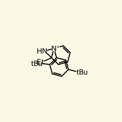 CCC12C=CC=C[N+]1(c1cc(C(C)(C)C)ccc1C(C)(C)C)N2